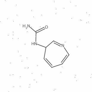 NC(=O)NC1C=CC=CN=C1